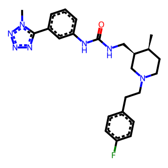 C[C@H]1CCN(CCc2ccc(F)cc2)C[C@H]1CNC(=O)Nc1cccc(-c2nnnn2C)c1